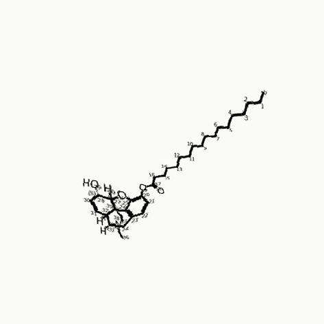 CCCCCCCCCCCCCCCCCC(=O)Oc1ccc2c3c1O[C@H]1[C@@H](O)C=C[C@H]4[C@@H](C2)N(C)CC[C@@]341